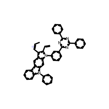 C=Cc1c(/C=C\C)c2cc3c4ccccc4n(-c4ccccc4)c3cc2n1-c1cccc(-c2nc(-c3ccccc3)nc(-c3ccccc3)n2)c1